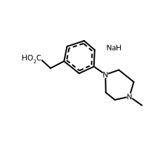 CN1CCN(c2cccc(CC(=O)O)c2)CC1.[NaH]